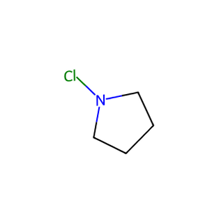 ClN1CCCC1